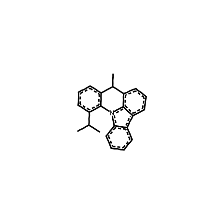 CC(C)c1cccc2c1-n1c3ccccc3c3cccc(c31)C2C